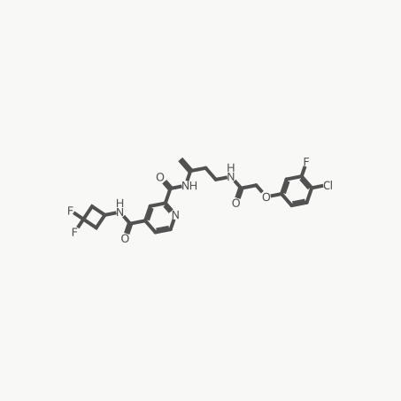 C=C(CCNC(=O)COc1ccc(Cl)c(F)c1)NC(=O)c1cc(C(=O)NC2CC(F)(F)C2)ccn1